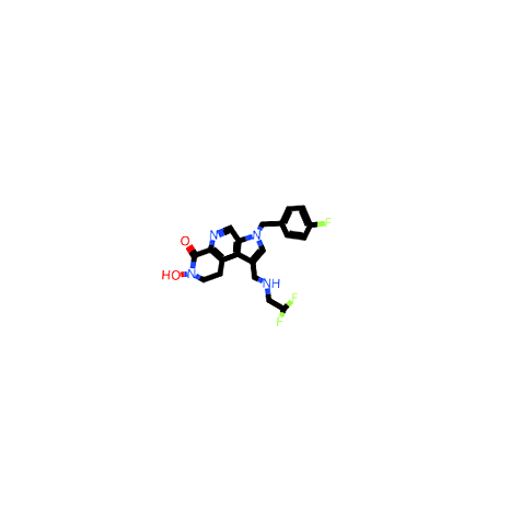 O=C1c2ncc3c(c(CNCC(F)F)cn3Cc3ccc(F)cc3)c2CCN1O